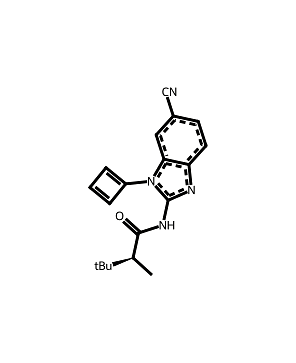 C[C@H](C(=O)Nc1nc2ccc(C#N)cc2n1C1=CC=C1)C(C)(C)C